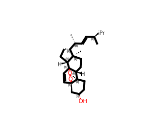 CC(C)[C@@H](C)C=C[C@@H](C)[C@H]1CC[C@@H]2[C@]1(C)CC[C@H]1[C@]23C=C[C@]2(C[C@@H](O)CC[C@]12C)OO3